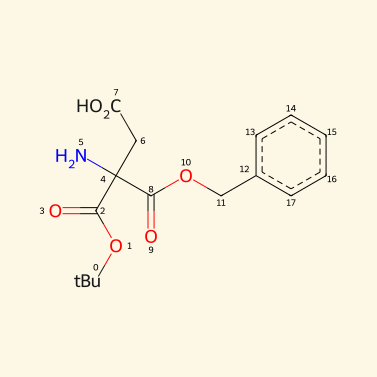 CC(C)(C)OC(=O)C(N)(CC(=O)O)C(=O)OCc1ccccc1